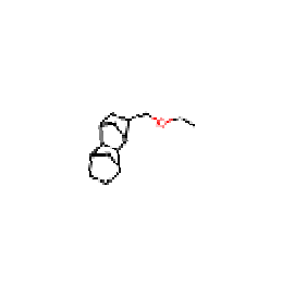 CCOCC1CC2CC1C1C3CCC(C3)C21